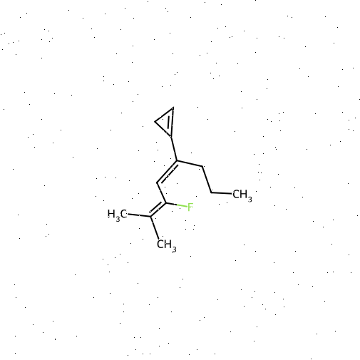 CCC/C(=C\C(F)=C(C)C)C1=CC1